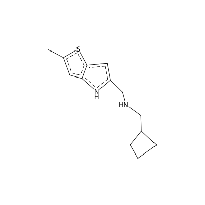 Cc1cc2[nH]c(CNCC3CCC3)cc2s1